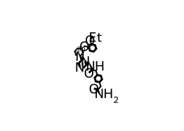 CCOc1ccccc1O[C@@H]1CCCN(c2cncc(NC(=O)Cc3ccc(CC(N)=O)cc3)n2)C1